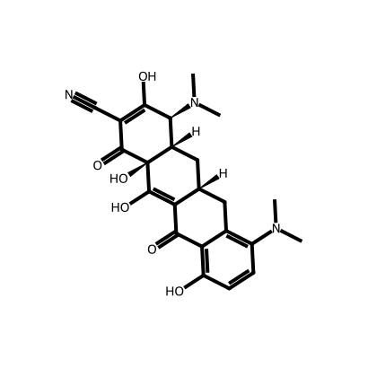 CN(C)c1ccc(O)c2c1C[C@H]1C[C@H]3[C@H](N(C)C)C(O)=C(C#N)C(=O)[C@@]3(O)C(O)=C1C2=O